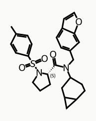 Cc1ccc(S(=O)(=O)N2CCC[C@H]2C(=O)N(Cc2ccc3ccoc3c2)C2CCC3CC3C2)cc1